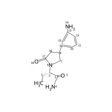 CC[C@@H](C(N)=O)N1CC(c2cccc(N)c2)CC1=O